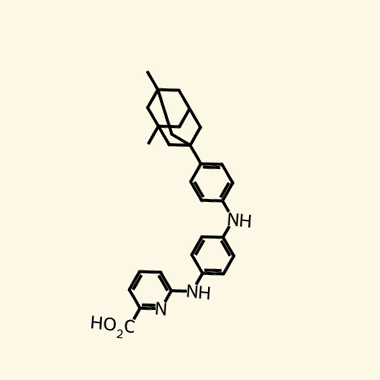 CC12CC3CC(C)(C1)CC(c1ccc(Nc4ccc(Nc5cccc(C(=O)O)n5)cc4)cc1)(C3)C2